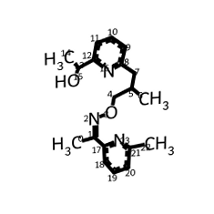 CC(=NOCC(C)Cc1cccc(C(C)O)n1)c1cccc(C)n1